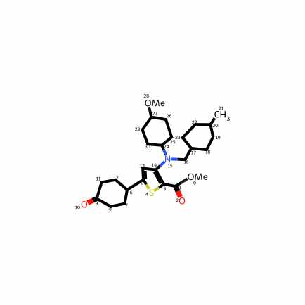 COC(=O)c1sc(C2CCC(=O)CC2)cc1N(CC1CCC(C)CC1)C1CCC(OC)CC1